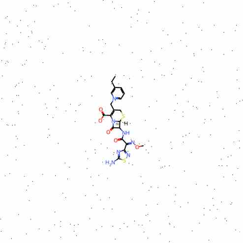 CCc1ccc[n+](CC2=C(C(=O)[O-])N3C(=O)C(NC(=O)C(=NOC)c4nsc(N)n4)[C@@H]3SC2)c1